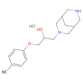 Cl.N#Cc1ccc(OCC(O)CN2CC3CNCC(C3)C2)cc1